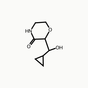 O=C1NCCOC1C(O)C1CC1